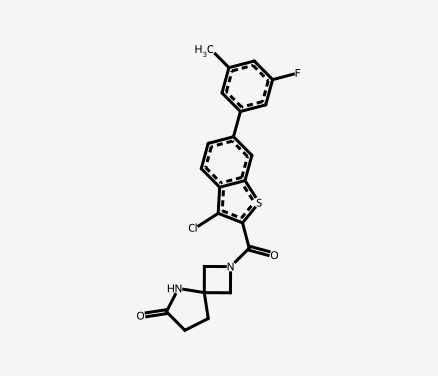 Cc1cc(F)cc(-c2ccc3c(Cl)c(C(=O)N4CC5(CCC(=O)N5)C4)sc3c2)c1